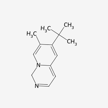 CC1=CN2CN=CC=C2C=C1C(C)(C)C